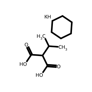 C1CCCCC1.CC(C)C(C(=O)O)C(=O)O.[KH]